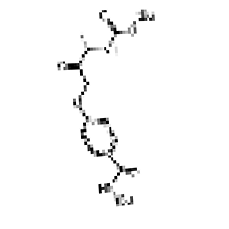 C[C@H](NC(=O)OC(C)(C)C)C(=O)COc1ccc(C(=O)NC(C)(C)C)cc1